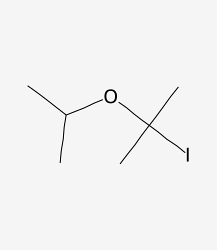 CC(C)OC(C)(C)I